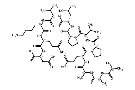 CC(C)C[C@H](NC(=O)[C@@H]1CCCN1C(=O)[C@@H](NC(=O)[C@@H]1CCCN1C(=O)[C@H](CCC(=O)O)NC(=O)[C@H](C)NC(=O)[C@H](C)NC(=O)[C@H](C)N)C(C)C)C(=O)N[C@H](C(=O)N[C@@H](CCCCN)C(=O)N[C@@H](CCC(N)=O)C(=O)N[C@@H](CC(=O)O)C(=O)O)C(C)C